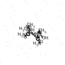 CCc1nc(C)oc1Nc1nc2cc(C(N)=O)ccc2n1C/C=C/Cn1c(Nc2cc(C)nn2CCCO)nc2cc(C(N)=O)ccc21